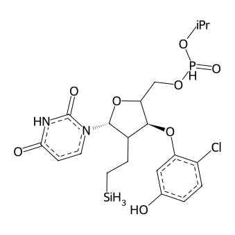 CC(C)O[PH](=O)OCC1O[C@@H](n2ccc(=O)[nH]c2=O)C(CC[SiH3])[C@@H]1Oc1cc(O)ccc1Cl